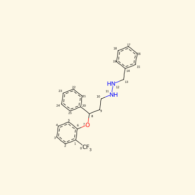 FC(F)(F)c1ccccc1OC(CCNNCc1ccccc1)c1ccccc1